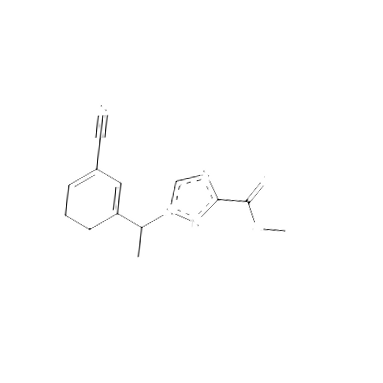 COC(=O)c1ncn(C(C)C2=CC(C#N)=CCC2)n1